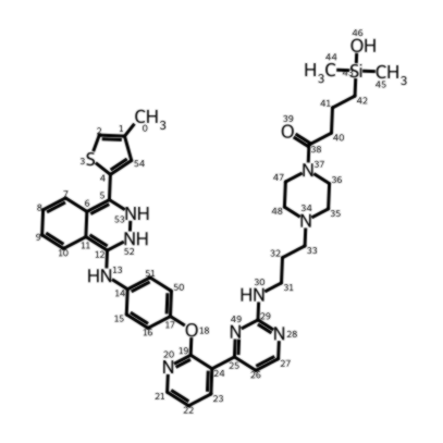 Cc1csc(C2=c3ccccc3=C(Nc3ccc(Oc4ncccc4-c4ccnc(NCCCN5CCN(C(=O)CCC[Si](C)(C)O)CC5)n4)cc3)NN2)c1